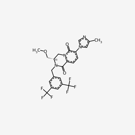 COC[C@@H]1Cn2c(ccc(-n3cnc(C)c3)c2=O)C(=O)N1Cc1cc(C(F)(F)F)cc(C(F)(F)F)c1